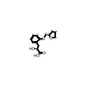 O=C(O)[C@@H](O)Cc1ccccc1OC[C@H]1CCCO1